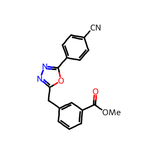 COC(=O)c1cccc(Cc2nnc(-c3ccc(C#N)cc3)o2)c1